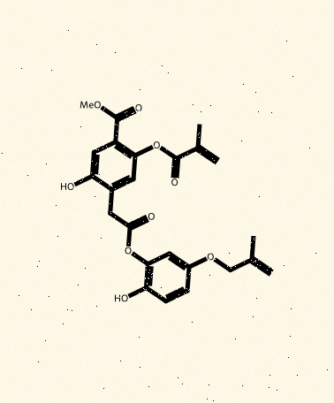 C=C(C)COc1ccc(O)c(OC(=O)Cc2cc(OC(=O)C(=C)C)c(C(=O)OC)cc2O)c1